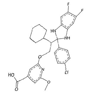 COc1cc(C(=O)O)cc(OCC(C2CCCCC2)C2(c3ccc(Cl)cc3)Nc3cc(F)c(F)cc3N2)n1